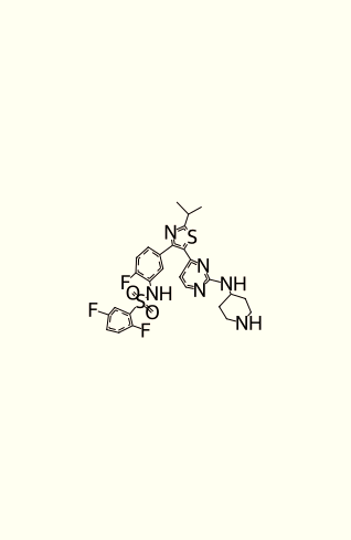 CC(C)c1nc(-c2ccc(F)c(NS(=O)(=O)c3cc(F)ccc3F)c2)c(-c2ccnc(NC3CCNCC3)n2)s1